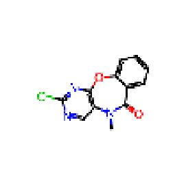 CN1C(=O)c2ccccc2Oc2nc(Cl)ncc21